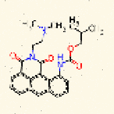 CC(C)COC(=O)Nc1cccc2cc3cccc4c3c(c12)C(=O)N(CCN(C)C)C4=O